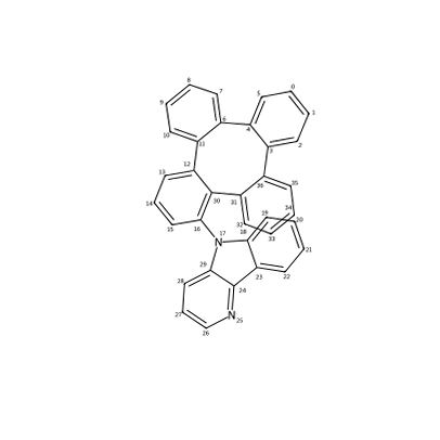 c1ccc2c(c1)-c1ccccc1-c1cccc(-n3c4ccccc4c4ncccc43)c1-c1ccccc1-2